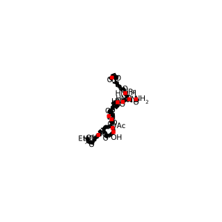 CC[C@H](O)[C@@H](C)[C@H]1O[C@@H]1C[C@@](C)(O)/C=C/C=C(\C)[C@H]1OC(=O)C[C@H](O)CC[C@@](C)(OC(C)=O)[C@@H](OC(=O)N2CCN(C(=O)OCc3ccc(NC(=O)[C@H](CCCNC(N)=O)NC(=O)[C@@H](NC(=O)CCCCCN4C(=O)C=CC4=O)C(C)C)cc3)CC2)/C=C/[C@@H]1C